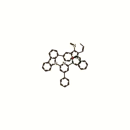 C=Nc1c(/C=C\C)n(-c2ccccc2)c2ccc(-c3cccc4c5ccccc5n(-c5cc(-c6ccccc6)cc(-c6ccccc6)n5)c34)cc12